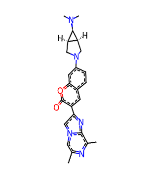 Cc1cn2cc(-c3cc4ccc(N5C[C@@H]6[C@H](C5)[C@@H]6N(C)C)cc4oc3=O)nc2c(C)n1